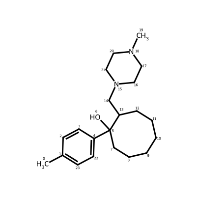 Cc1ccc(C2(O)CCCCCCC2CN2CCN(C)CC2)cc1